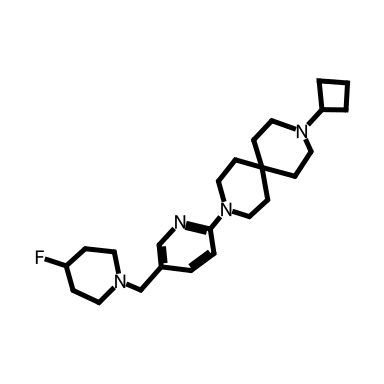 FC1CCN(Cc2ccc(N3CCC4(CC3)CCN(C3CCC3)CC4)nc2)CC1